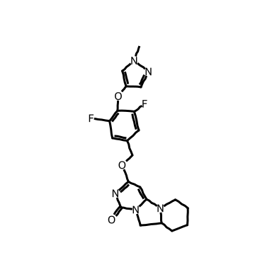 Cn1cc(Oc2c(F)cc(COc3cc4n(c(=O)n3)CC3CCCCN43)cc2F)cn1